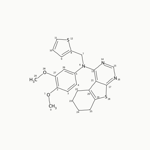 COc1ccc(N(Cc2cccs2)c2ncnc3sc4c(c23)CCCC4)cc1OC